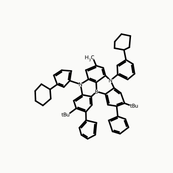 Cc1cc2c3c(c1)N(c1cccc(C4CCCCC4)c1)c1cc(C(C)(C)C)c(-c4ccccc4)cc1B3c1cc(-c3ccccc3)c(C(C)(C)C)cc1N2c1cccc(C2CCCCC2)c1